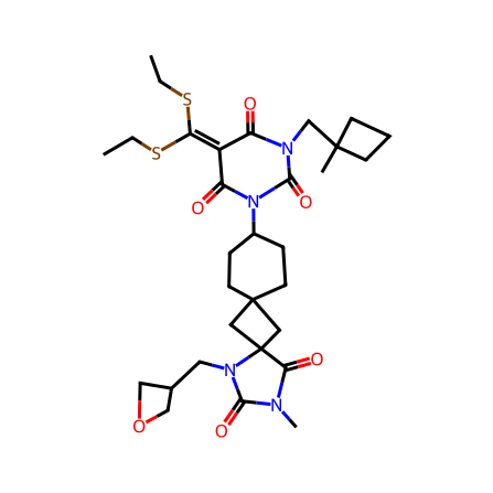 CCSC(SCC)=C1C(=O)N(CC2(C)CCC2)C(=O)N(C2CCC3(CC2)CC2(C3)C(=O)N(C)C(=O)N2CC2COC2)C1=O